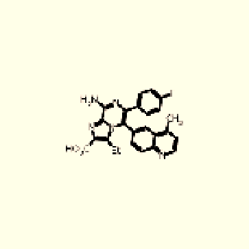 CCc1c(C(=O)O)nc2c(N)nc(-c3ccc(F)cc3)c(-c3ccc4nccc(C)c4c3)n12